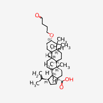 C=C(C)[C@@H]1CC[C@]2(C(=O)O)CC[C@]3(C)[C@H](CC[C@@H]4[C@@]5(C)CC[C@H](OCCCC=O)C(C)(C)[C@@H]5CC[C@]43C)[C@@H]12